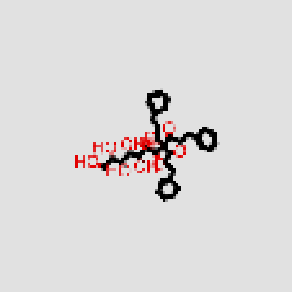 O=C(CCc1ccccc1)C(C(=O)CCc1ccccc1)(C(=O)CCc1ccccc1)C(=O)C(O)[C@@H](O)[C@@H](O)[C@H](O)[C@H](O)CO